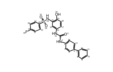 O=C(Nc1ccc(-c2ccccc2)cc1)Nc1ccc(O)c(NS(=O)(=O)c2ccc(F)cc2)c1